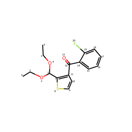 CCOC(OCC)c1sccc1C(=O)c1ccccc1F